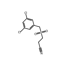 N#CCCS(=O)(=O)Cc1cc(Cl)cc(Cl)c1